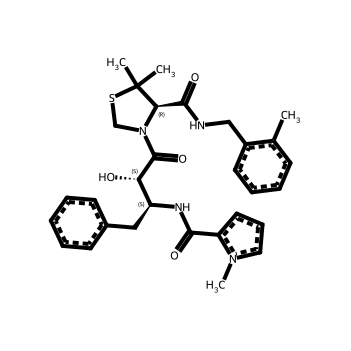 Cc1ccccc1CNC(=O)[C@H]1N(C(=O)[C@@H](O)[C@H](Cc2ccccc2)NC(=O)c2cccn2C)CSC1(C)C